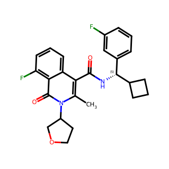 Cc1c(C(=O)N[C@H](c2cccc(F)c2)C2CCC2)c2cccc(F)c2c(=O)n1C1CCOC1